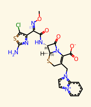 CO/N=C(\C(=O)N[C@@H]1C(=O)N2C(C(=O)[O-])=C(Cn3cc[n+]4ccccc34)CS[C@@H]12)c1nc(N)sc1Cl